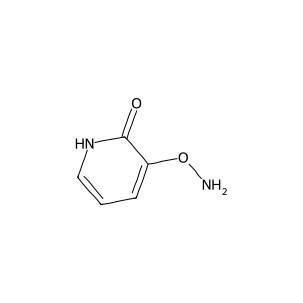 NOc1ccc[nH]c1=O